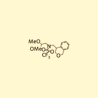 COC(CN(CC1COCc2ccccc21)S(=O)(=O)C(F)(F)F)OC